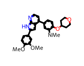 CNc1cc(-c2ccnc3[nH]c(-c4ccc(OC)c(OC)c4)cc23)ccc1OC1CCOCC1